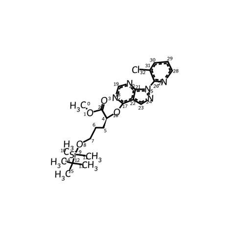 COC(=O)[C@H](CCCO[Si](C)(C)C(C)(C)C)Oc1ncnc2c1cnn2-c1ncccc1Cl